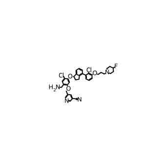 N#Cc1cncc(COc2cc(O[C@H]3CCc4c(-c5cccc(OCCCN6CCC(F)CC6)c5Cl)cccc43)c(Cl)cc2CN)c1